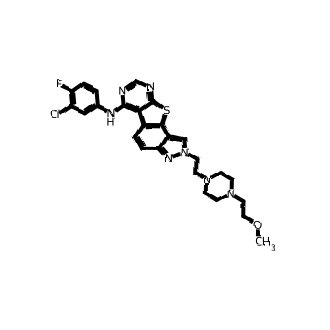 COCCN1CCN(CCn2cc3c(ccc4c3sc3ncnc(Nc5ccc(F)c(Cl)c5)c34)n2)CC1